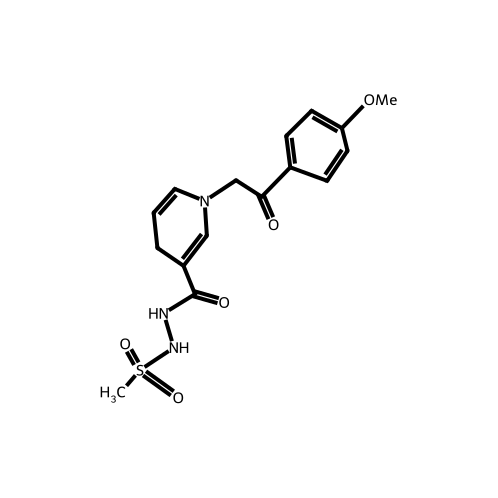 COc1ccc(C(=O)CN2C=CCC(C(=O)NNS(C)(=O)=O)=C2)cc1